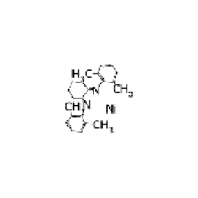 Cc1cccc(C)c1N=C1CCCCC1=Nc1c(C)cccc1C.[Ni]